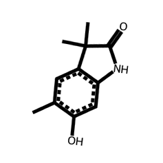 Cc1cc2c(cc1O)NC(=O)C2(C)C